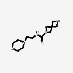 O=C(NCCN1CCOCC1)N1CC2(CNC2)C1